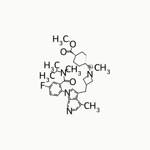 COC(=O)[C@H]1CC[C@H]([C@H](C)N2CC(Cc3cn(-c4ccc(F)cc4C(=O)N(C)C(C)C)c4cncc(C)c34)C2)CC1